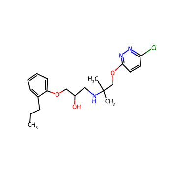 CCCc1ccccc1OCC(O)CNC(C)(C)COc1ccc(Cl)nn1